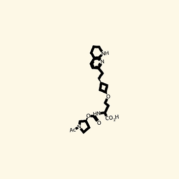 CC(=O)N1CC[C@H](OC(=O)NC(CCO[C@H]2C[C@H](CCc3ccc4c(n3)NCCC4)C2)C(=O)O)C1